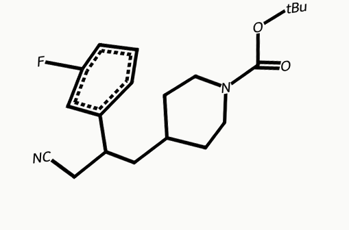 CC(C)(C)OC(=O)N1CCC(CC(CC#N)c2cccc(F)c2)CC1